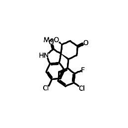 CO[C@H]1CC(=O)CC(c2cccc(Cl)c2F)[C@@]12C(=O)Nc1cc(Cl)ccc12